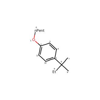 CCCCCOc1ccc(C(C)(C)CC)cc1